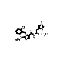 CCCSc1ncc(C(=O)N[C@@H](Cc2c[nH]cn2)C(=O)O)n1Cc1ccccc1Cl